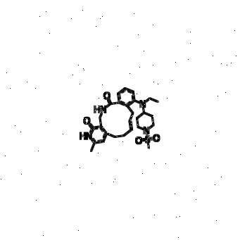 CCN(c1cccc2c1C/C=C/CCc1cc(C)[nH]c(=O)c1CNC2=O)C1CCN(S(C)(=O)=O)CC1